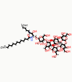 CCCCCCCCCCCCC/C=C/[C@@H](O)[C@H](CO[C@@H]1OC(CO)[C@@H](O[C@@H]2OC(CO)[C@H](O[C@@H]3OC(CO)[C@H](O)[C@H](O[C@@H]4OC(CO)[C@H](O)[C@H](O[C@@H]5OC(CO)[C@H](O)[C@H](O)C5O[C@H]5OC(C)[C@@H](O)C(O)[C@@H]5O)C4NC(C)=O)C3O)[C@H](O)C2O)[C@H](O)C1O)NC(=O)CCCCCCCCCCCCCCCCCCCCC